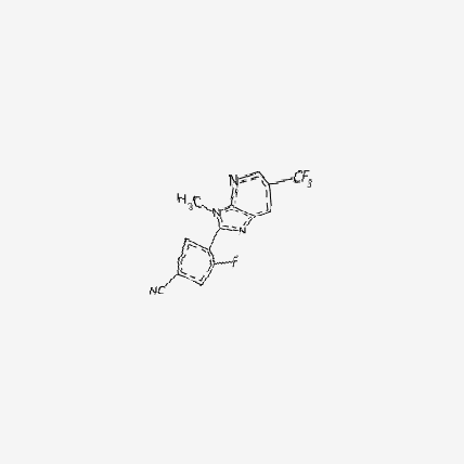 Cn1c(-c2ccc(C#N)cc2F)nc2cc(C(F)(F)F)cnc21